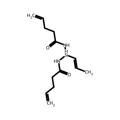 C=CCCC(=O)N[SiH](C=CC)NC(=O)CCC=C